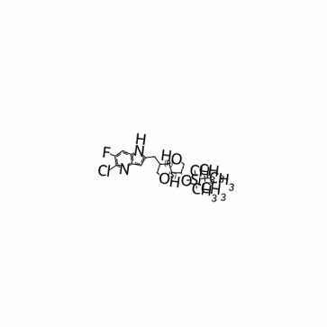 CC(C)(C)[Si](C)(C)OC1CO[C@@H]2C(Cc3cc4nc(Cl)c(F)cc4[nH]3)CO[C@H]12